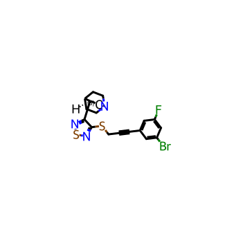 Fc1cc(Br)cc(C#CCSc2nsnc2[C@@H]2CN3CCC2CC3)c1